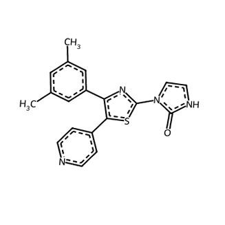 Cc1cc(C)cc(-c2nc(-n3cc[nH]c3=O)sc2-c2ccncc2)c1